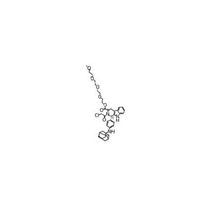 COCCOCCOCCOCCOC(=O)[C@H]1Cc2c([nH]c3ccccc23)[C@H](c2ccc(NC34CC5CC(CC(C5)C3)C4)cc2)N1C(=O)CCl